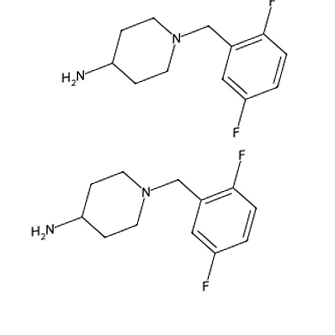 NC1CCN(Cc2cc(F)ccc2F)CC1.NC1CCN(Cc2cc(F)ccc2F)CC1